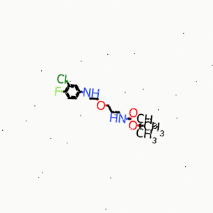 CC(C)(C)OC(=O)NCCCOCCNc1ccc(F)c(Cl)c1